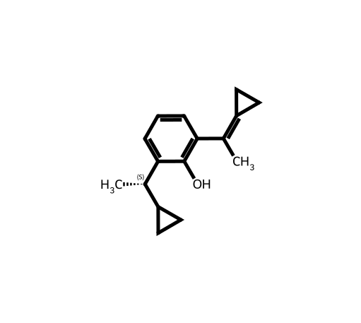 CC(=C1CC1)c1cccc([C@@H](C)C2CC2)c1O